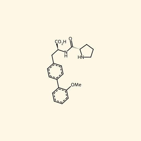 COc1ccccc1-c1ccc(C[C@H](NC(=O)[C@@H]2CCCN2)C(=O)O)cc1